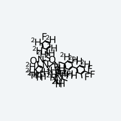 [2H]c1c([2H])c(C([2H])([2H])Sc2nc(=O)c3c(n2CC(=O)N(Cc2c([2H])c([2H])c(-c4c([2H])c([2H])c(C(F)(F)F)c(C)c4[2H])c([2H])c2[2H])C([2H])([2H])C([2H])([2H])N(C([2H])([2H])C)C([2H])([2H])C)C([2H])([2H])C([2H])([2H])C3([2H])[2H])c([2H])c([2H])c1F